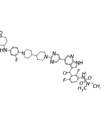 CCN(C)S(=O)(=O)Nc1ccc(F)c(C(=O)c2c[nH]c3ncc(-c4cnc(N5CCC(C6CCN(c7ccc(NC8CCC(=O)NC8=O)cc7F)CC6)CC5)nc4)cc23)c1F